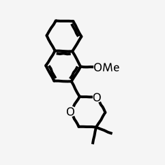 COc1c(C2OCC(C)(C)CO2)ccc2c1C=CCC2